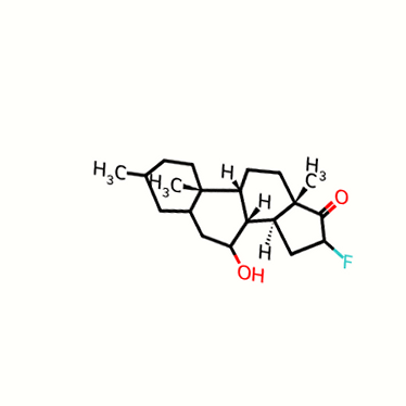 CC1CC[C@@]2(C)C(C1)CC(O)[C@@H]1[C@H]2CC[C@]2(C)C(=O)C(F)C[C@@H]12